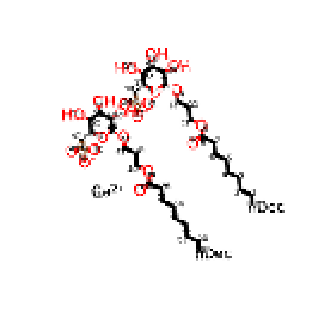 CCCCCCCCCCCCCCCCCC(=O)OCCCO[C@@H]1O[C@H](CS(=O)(=O)[O-])[C@@H](O)[C@H](O)[C@H]1O.CCCCCCCCCCCCCCCCCC(=O)OCCCO[C@@H]1O[C@H](CS(=O)(=O)[O-])[C@@H](O)[C@H](O)[C@H]1O.[Ca+2]